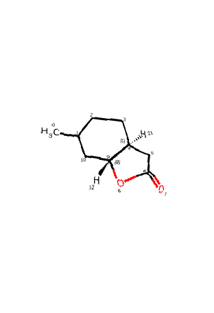 CC1CC[C@H]2CC(=O)O[C@@H]2C1